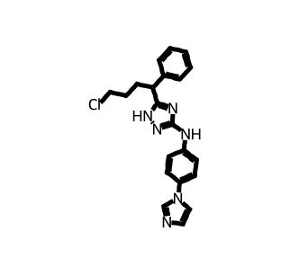 ClCCCC(c1ccccc1)c1nc(Nc2ccc(-n3ccnc3)cc2)n[nH]1